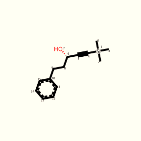 C[Si](C)(C)C#C[C@@H](O)CCc1ccccc1